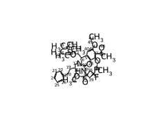 CCOc1cc(C(CO[Si](C)(C)C(C)(C)C)N(CCCCc2ccccc2)C(=O)NC2(C(=O)OC)CC(F)(F)C2)cc(OCC)c1C(C)=O